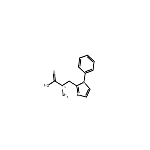 N[C@@H](Cc1nccn1-c1ccccc1)C(=O)O